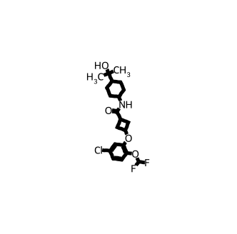 CC(C)(O)C1CCC(NC(=O)C2CC(Oc3cc(Cl)ccc3OC(F)F)C2)CC1